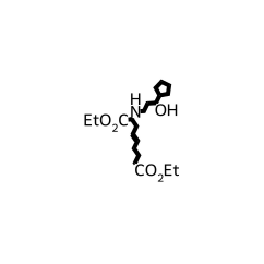 CCOC(=O)CCCC=CCC(NCCC(O)C1CCCC1)C(=O)OCC